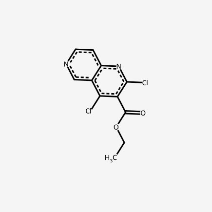 CCOC(=O)c1c(Cl)nc2ccncc2c1Cl